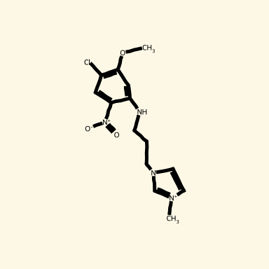 COc1cc(NCCCn2cc[n+](C)c2)c([N+](=O)[O-])cc1Cl